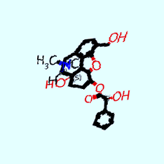 CN1CCC23c4c5ccc(CO)c4OC2C(OC(=O)[C@@H](O)c2ccccc2)=CC[C@@]3(O)[C@H]1C5